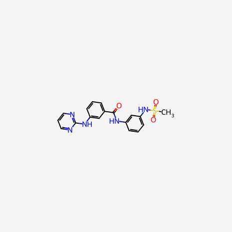 CS(=O)(=O)Nc1cccc(NC(=O)c2cccc(Nc3ncccn3)c2)c1